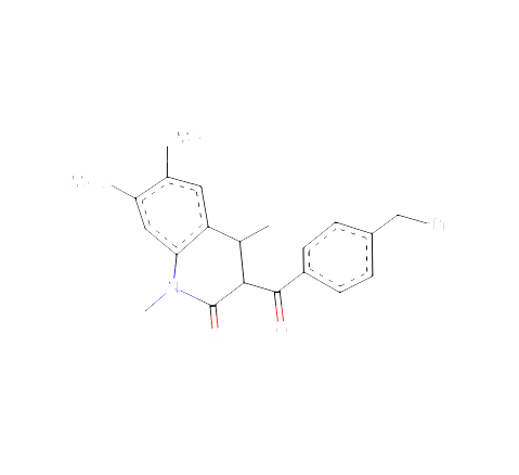 COc1cc2c(cc1OC)N(C)C(=O)C(C(=O)c1ccc(CC(C)C)cc1)C2C